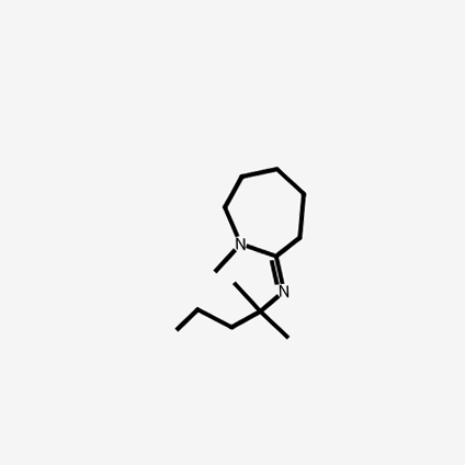 CCCC(C)(C)N=C1CCCCCN1C